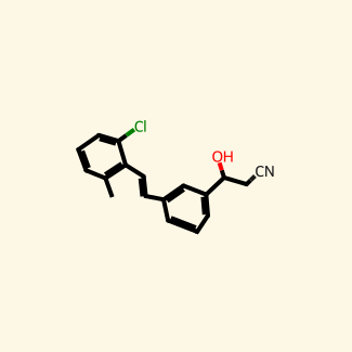 Cc1cccc(Cl)c1C=Cc1cccc(C(O)CC#N)c1